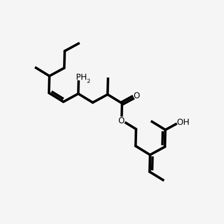 C/C=C(\C=C(/C)O)CCOC(=O)C(C)CC(P)/C=C\C(C)CCC